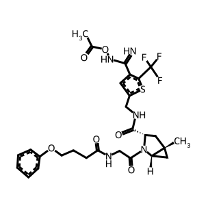 CC(=O)ONC(=N)c1cc(CNC(=O)[C@@H]2C[C@]3(C)C[C@@H]3N2C(=O)CNC(=O)CCCOc2ccccc2)sc1C(F)(F)F